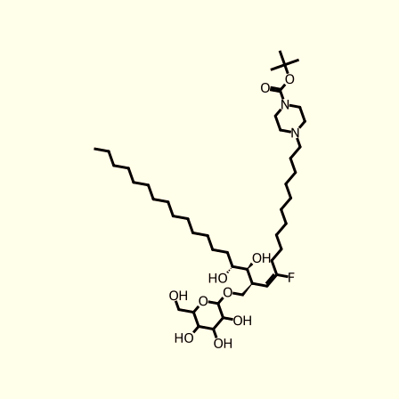 CCCCCCCCCCCCCC[C@@H](O)[C@@H](O)[C@@H](/C=C(/F)CCCCCCCCCCN1CCN(C(=O)OC(C)(C)C)CC1)COC1OC(CO)C(O)C(O)C1O